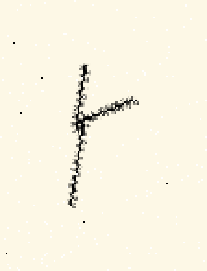 CCCCCCCCCCCCCCCCCCC[n+]1ccc(CCCCCCCCCCCCCC)c(CCCCCCCCCCCCCC)c1